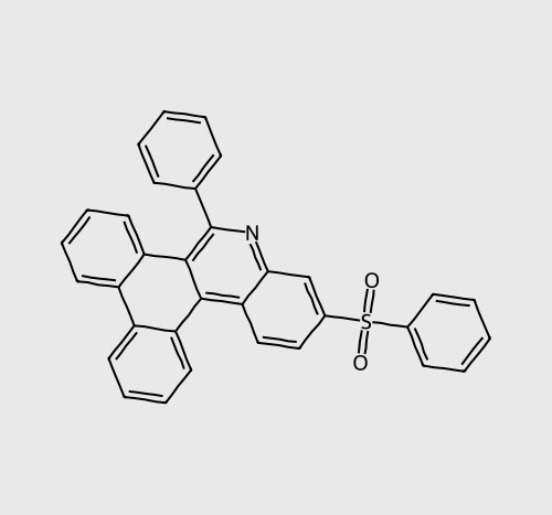 O=S(=O)(c1ccccc1)c1ccc2c(c1)nc(-c1ccccc1)c1c3ccccc3c3ccccc3c21